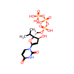 CC(C)[C@]1(COP(=O)(O)OP(=O)(O)OP(=O)(O)O)OC(n2ccc(=O)[nH]c2=O)=C[C@@H]1O